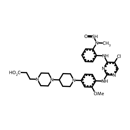 COc1cc(N2CCC(N3CCN(CCC(=O)O)CC3)CC2)ccc1Nc1ncc(Cl)c(Nc2ccccc2N(C)[SH]=O)n1